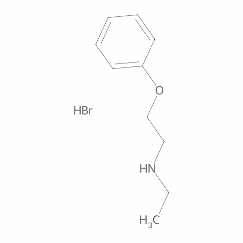 Br.CCNCCOc1ccccc1